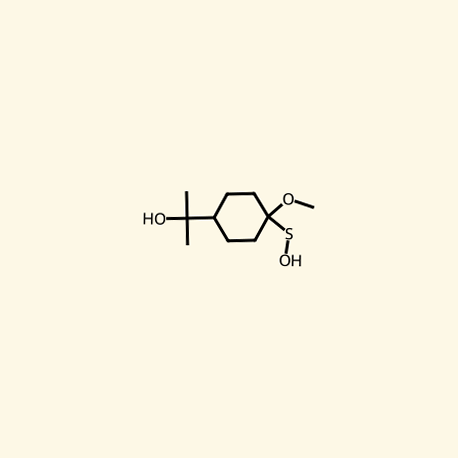 COC1(SO)CCC(C(C)(C)O)CC1